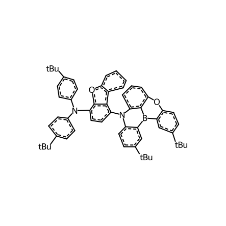 CC(C)(C)c1ccc(N(c2ccc(C(C)(C)C)cc2)c2ccc(N3c4ccc(C(C)(C)C)cc4B4c5cc(C(C)(C)C)ccc5Oc5cccc3c54)c3c2oc2ccccc23)cc1